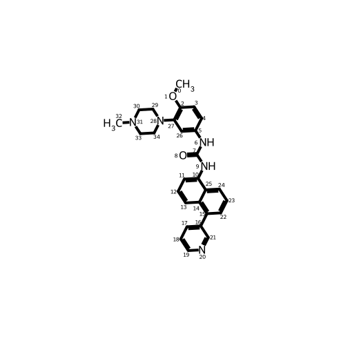 COc1ccc(NC(=O)Nc2cccc3c(-c4cccnc4)cccc23)cc1N1CCN(C)CC1